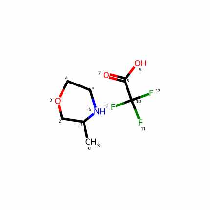 CC1COCCN1.O=C(O)C(F)(F)F